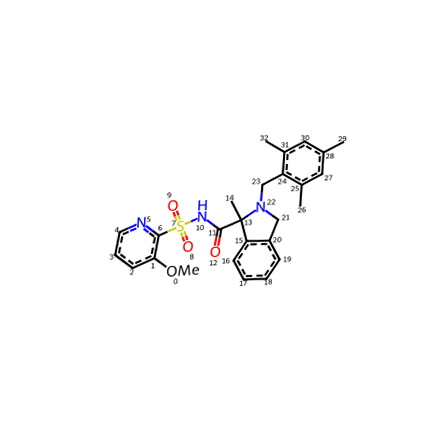 COc1cccnc1S(=O)(=O)NC(=O)C1(C)c2ccccc2CN1Cc1c(C)cc(C)cc1C